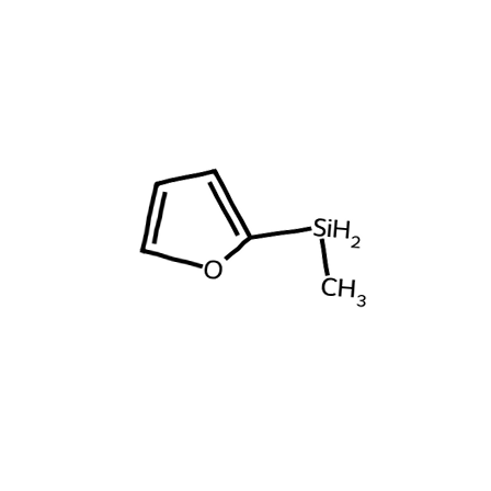 C[SiH2]c1ccco1